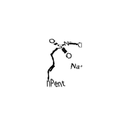 CCCCCC=CCS(=O)(=O)[N-]Cl.[Na+]